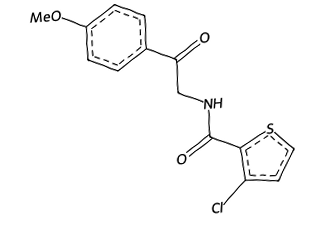 COc1ccc(C(=O)CNC(=O)c2sccc2Cl)cc1